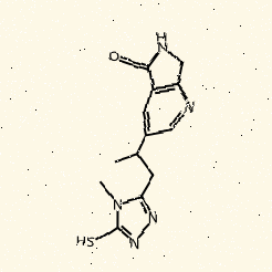 CC(Cc1nnc(S)n1C)c1cnc2c(c1)C(=O)NC2